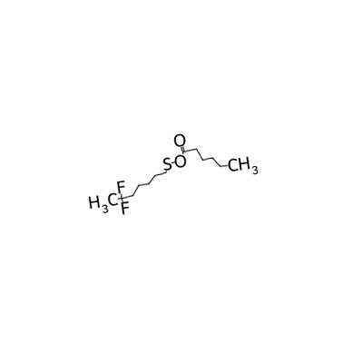 CCCCCC(=O)OSCCCCCC(C)(F)F